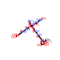 CC(=O)NC1C(O)[C@@H](O)CC(O)CO[C@H]1OCCCCC(=O)NCCCNC(=O)CCOCC(COCCC(=O)NCCCNCO)(COCCC(=O)NCCCNC(=O)CCCCOC(O)CO)NC(=O)CON